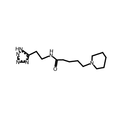 O=C(CCCCN1CCCCC1)NCCc1nnn[nH]1